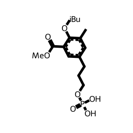 CCC(C)Oc1c(C)cc(CCCOP(=O)(O)O)cc1C(=O)OC